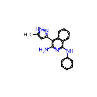 Cc1cc(-c2c(N)nc(Nc3ccccc3)c3ccccc23)n[nH]1